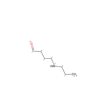 CC[CH2][AlH][CH2]CCC=O